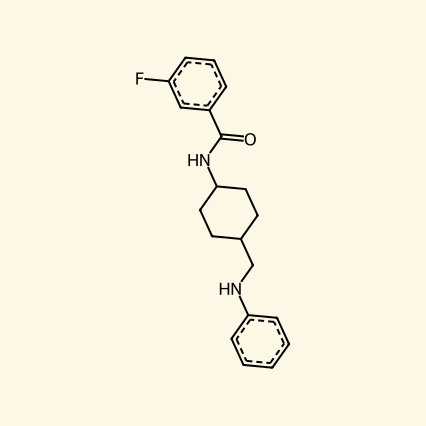 O=C(NC1CCC(CNc2ccccc2)CC1)c1cccc(F)c1